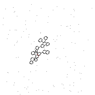 c1ccc(-c2c(-c3ccccc3)c3cc(-c4cccc(N(c5cccc(-c6ccc7ccccc7c6)c5)c5ccccc5-c5cccc6oc7c8ccccc8ccc7c56)c4)ccc3c3ccccc23)cc1